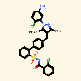 CCCCc1nn(-c2cc(N)ccc2Cl)c(C(=O)OCC)c1Cc1ccc(-c2ccccc2S(=O)(=O)NC(=O)c2ccccc2Cl)cc1